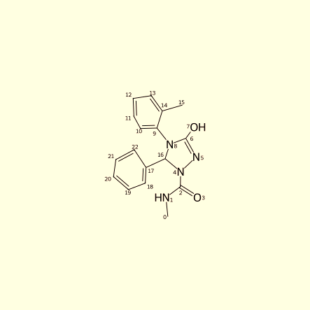 CNC(=O)N1N=C(O)N(c2ccccc2C)C1c1ccccc1